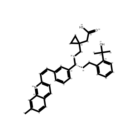 Cc1ccc2ccc(/C=C\c3cccc([C@@H](CCc4ccccc4C(C)(C)O)SCC4(CC(=O)S)CC4)c3)nc2c1